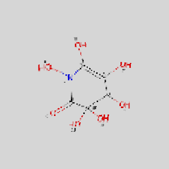 O=C1N(O)C(O)=C(O)C(O)C1(O)O